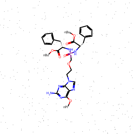 CCCCOC(=O)[C@H](Cc1ccccc1)NP(=O)(COCCn1cnc2c(OCCC)nc(N)nc21)N[C@@H](Cc1ccccc1)C(=O)OCCCC